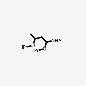 CC(=O)NC(CC(C)OC(C)C)OC(C)C